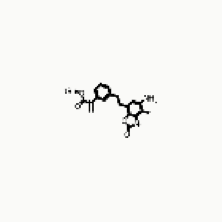 Cc1c(N)cc(CCc2cccc(NC(=O)OC(C)(C)C)c2)c2c1[N]C(=O)O2